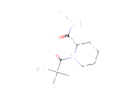 CCNC(=O)C1CCCCN1C(=O)C(C)(C)C(C)C